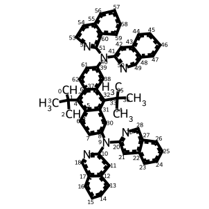 CC(C)(C)c1c2ccc(N(c3cc4ccccc4cn3)c3cc4ccccc4cn3)cc2c(C(C)(C)C)c2cc(N(c3cc4ccccc4cn3)c3nccc4ccccc34)ccc12